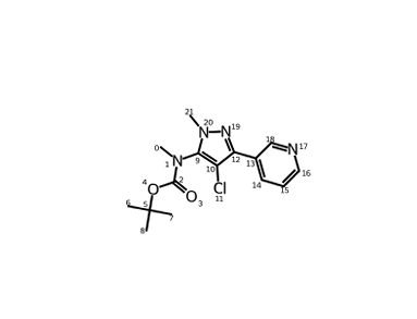 CN(C(=O)OC(C)(C)C)c1c(Cl)c(-c2cccnc2)nn1C